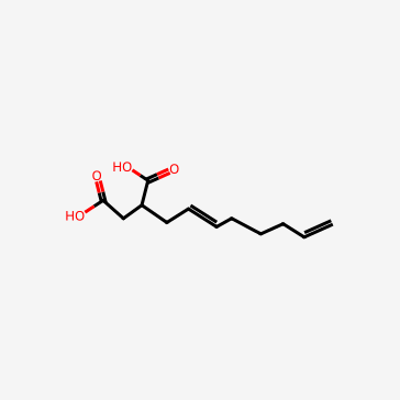 C=CCCCC=CCC(CC(=O)O)C(=O)O